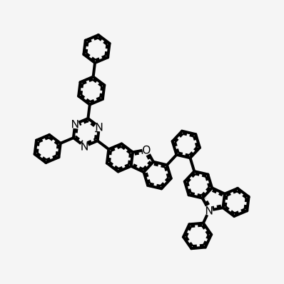 c1ccc(-c2ccc(-c3nc(-c4ccccc4)nc(-c4ccc5c(c4)oc4c(-c6ccccc6-c6ccc7c(c6)c6ccccc6n7-c6ccccc6)cccc45)n3)cc2)cc1